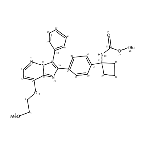 COCCOc1ccnn2c(-c3ccccc3)c(-c3ccc(C4(NC(=O)OC(C)(C)C)CCC4)cc3)nc12